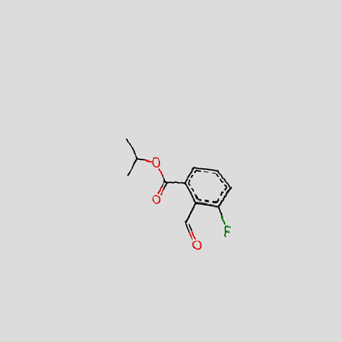 CC(C)OC(=O)c1cccc(F)c1C=O